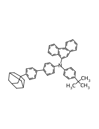 CC(C)(C)c1ccc(N(c2ccc(-c3ccc(C45CC6CC(CC(C6)C4)C5)cc3)cc2)c2cc3ccccc3c3ccccc23)cc1